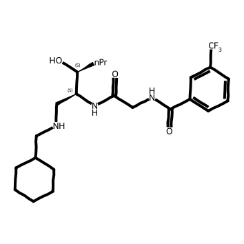 CCC[C@H](O)[C@H](CNCC1CCCCC1)NC(=O)CNC(=O)c1cccc(C(F)(F)F)c1